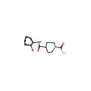 BC(=O)N1CCC(C(=O)Nc2ccccc2Br)CC1